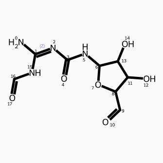 N/C(=N/C(=O)NC1OC(C=O)C(O)C1O)NC=O